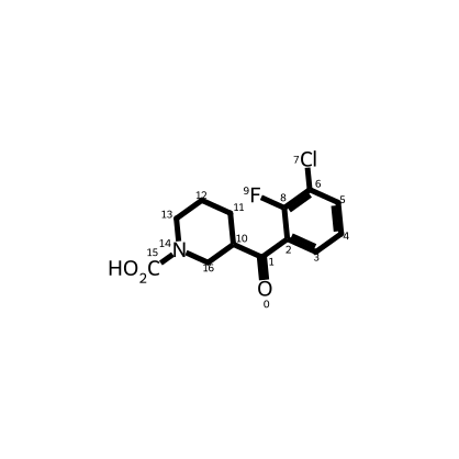 O=C(c1cccc(Cl)c1F)C1CCCN(C(=O)O)C1